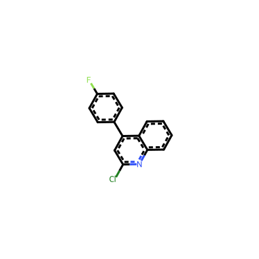 Fc1ccc(-c2cc(Cl)nc3ccccc23)cc1